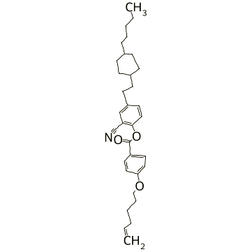 C=CCCCCOc1ccc(C(=O)Oc2ccc(CCC3CCC(CCCCC)CC3)cc2C#N)cc1